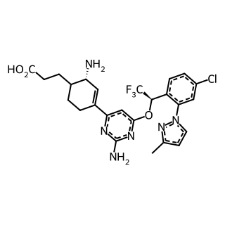 Cc1ccn(-c2cc(Cl)ccc2[C@@H](Oc2cc(C3=C[C@@H](N)C(CCC(=O)O)CC3)nc(N)n2)C(F)(F)F)n1